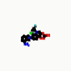 NC1C=CCC2CN(c3ccc4c(=O)c(OC(=O)O)cn([C@@H]5C[C@@H]5F)c4c3Cl)CC12